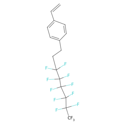 C=Cc1ccc(CCC(F)(F)C(F)(F)C(F)(F)C(F)(F)C(F)(F)C(F)(F)F)cc1